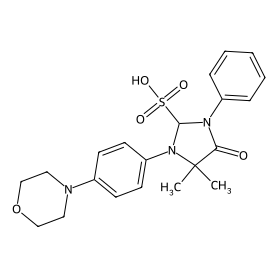 CC1(C)C(=O)N(c2ccccc2)C(S(=O)(=O)O)N1c1ccc(N2CCOCC2)cc1